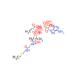 C=CCC(=O)O.CCSCCNC(=O)CCNC(=O)[C@H](O)C(C)(C)COP(=O)(O)OP(=O)(O)OC[C@H]1O[C@@H](n2cnc3c(N)ncnc32)[C@H](O)[C@@H]1OP(=O)(O)O